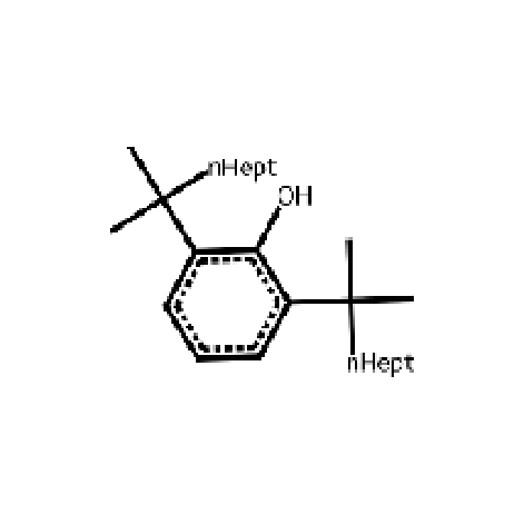 CCCCCCCC(C)(C)c1cccc(C(C)(C)CCCCCCC)c1O